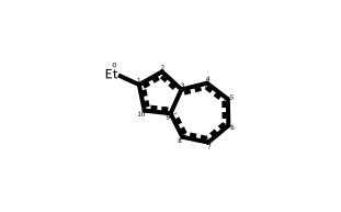 CCc1cc2cccccc-2c1